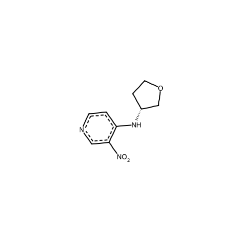 O=[N+]([O-])c1cnccc1N[C@@H]1CCOC1